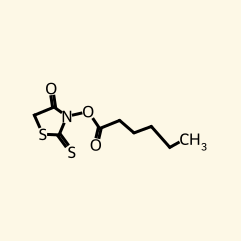 CCCCCC(=O)ON1C(=O)CSC1=S